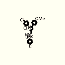 COc1ccc(C2CC(CNS(=O)(=O)c3ccc(Cl)cc3)=NN2c2ccc(Cl)cc2Cl)cc1